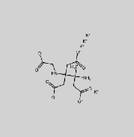 CC(N)(CC(=O)[O-])C(CC(=O)[O-])(CC(=O)[O-])NCC(=O)[O-].[K+].[K+].[K+].[K+]